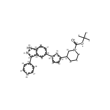 CC(C)(C)OC(=O)N1CCCC(c2ccn(-c3ccc4[nH]nc(-c5ccncc5)c4c3)n2)C1